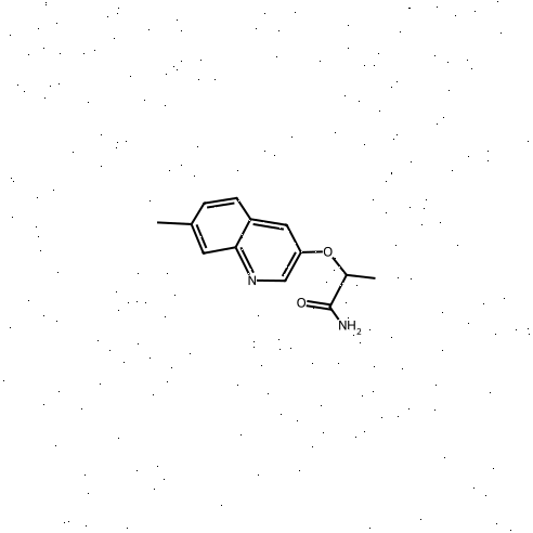 Cc1ccc2cc(OC(C)C(N)=O)cnc2c1